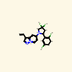 C=Cc1cnn2ccc(N3CC(F)(F)CC3C3=C(F)CCC(F)=C3)cc12